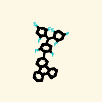 Fc1cc(F)c(C(c2cc(F)c(-c3ccc4c5ccccc5c5ccccc5c4c3)c(F)c2)c2c(F)cc(F)cc2F)c(F)c1